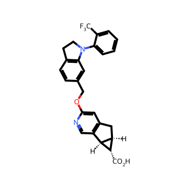 O=C(O)[C@H]1[C@@H]2Cc3cc(OCc4ccc5c(c4)N(c4ccccc4C(F)(F)F)CC5)ncc3[C@@H]21